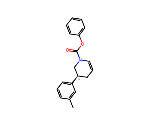 Cc1cccc([C@@H]2CC=CN(C(=O)Oc3ccccc3)C2)c1